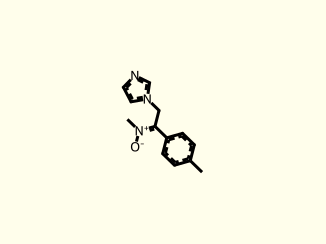 Cc1ccc(C(Cn2ccnc2)=[N+](C)[O-])cc1